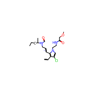 C=Cc1c(Cl)cn(CCNC(=O)COC)c1/C=C/CN(C=O)C(C)CCC